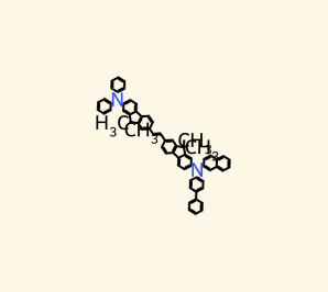 CC1(C)c2cc(/C=C/c3ccc4c(c3)C(C)(C)c3cc(N(c5ccc(-c6ccccc6)cc5)c5ccc6ccccc6c5)ccc3-4)ccc2-c2ccc(N(c3ccccc3)c3ccccc3)cc21